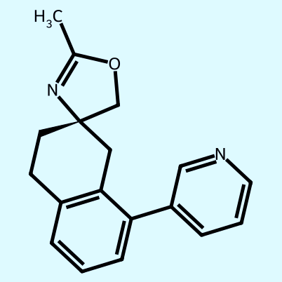 CC1=N[C@]2(CCc3cccc(-c4cccnc4)c3C2)CO1